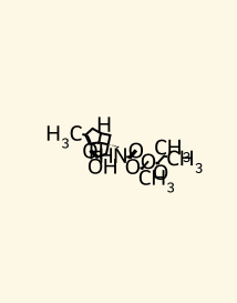 CC1=C[C@H]2[C@@H](C1)C[C@@]2(CNC(=O)O[C@H](C)OC(=O)C(C)C)CC(=O)O